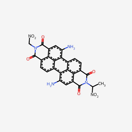 CC(N1C(=O)c2ccc3c4c(N)cc5c6c(ccc(c7c(N)cc(c2c37)C1=O)c64)C(=O)N(C[N+](=O)[O-])C5=O)[N+](=O)[O-]